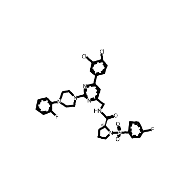 O=C(NCc1cc(-c2ccc(Cl)c(Cl)c2)nc(N2CCN(c3ccccc3F)CC2)n1)[C@@H]1CCCN1S(=O)(=O)c1ccc(F)cc1